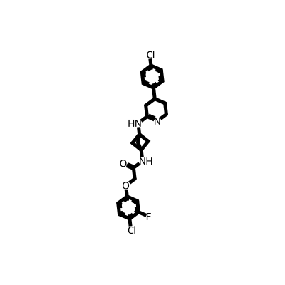 O=C(COc1ccc(Cl)c(F)c1)NC12CC(NC3=NCCC(c4ccc(Cl)cc4)C3)(C1)C2